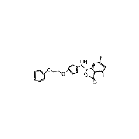 Cc1cc(C)c2c(c1)C(C(O)c1ccc(OCCOc3ccccc3)cc1)OC2=O